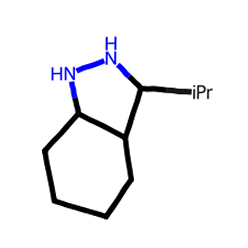 CC(C)C1NNC2CCCCC21